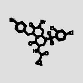 CC(C)N1CC2N(C(=O)C(NC(=O)C3CC3)CN2S(=O)(=O)c2ccc(Cl)cc2Cl)C(Cc2ccc(Br)cc2)C1=O